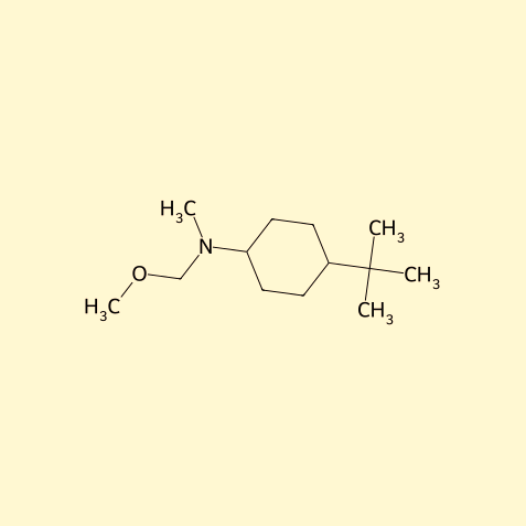 COCN(C)C1CCC(C(C)(C)C)CC1